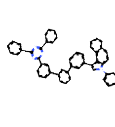 c1ccc(-c2nc(-c3ccccc3)nc(-c3cccc(-c4cccc(-c5cccc(-c6cn(-c7ccccc7)c7ccc8ccccc8c67)c5)c4)c3)n2)cc1